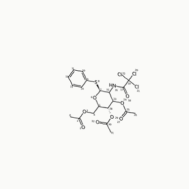 CC(=O)OCC1O[C@@H](Sc2ccccc2)C(NC(=O)C(Cl)(Cl)Cl)C(OC(C)=O)[C@@H]1OC(C)=O